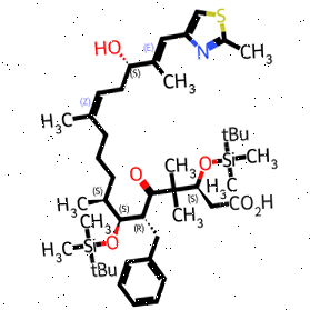 C/C(=C/C[C@H](O)/C(C)=C/c1csc(C)n1)CCC[C@H](C)[C@H](O[Si](C)(C)C(C)(C)C)[C@@H](Cc1ccccc1)C(=O)C(C)(C)[C@H](CC(=O)O)O[Si](C)(C)C(C)(C)C